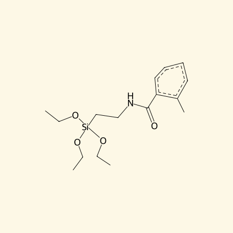 CCO[Si](CCNC(=O)c1ccccc1C)(OCC)OCC